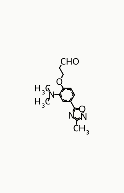 Cc1noc(-c2ccc(OCCC=O)c(N(C)C)c2)n1